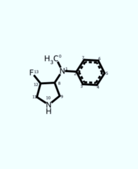 CN(c1ccccc1)C1CNCC1F